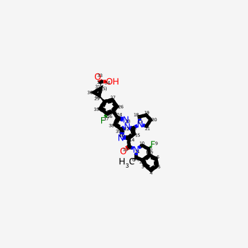 C[C@@H]1c2ccccc2[C@H](F)CN1C(=O)c1cc(N2CCCC2)n2nc(-c3ccc([C@H]4C[C@@H]4C(=O)O)cc3F)cc2n1